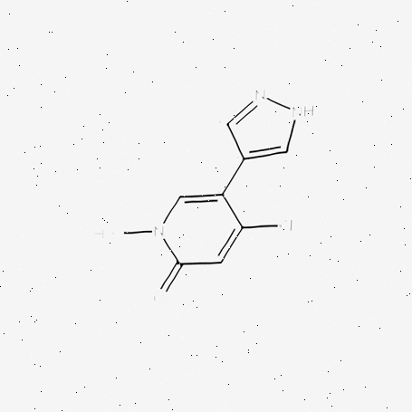 Cn1cc(-c2cn[nH]c2)c(Cl)cc1=O